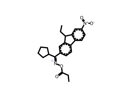 CCC(=O)O/N=C(\c1ccc2c(c1)C(CC)c1cc([N+](=O)[O-])ccc1-2)C1CCCC1